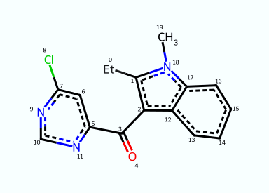 CCc1c(C(=O)c2cc(Cl)ncn2)c2ccccc2n1C